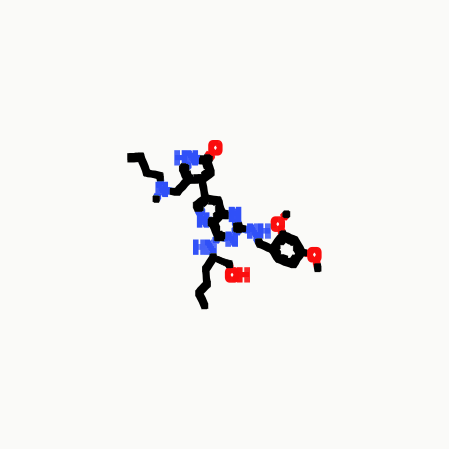 C=CCCN(C)Cc1c[nH]c(=O)cc1-c1cnc2c(N[C@@H](CO)CCCC)nc(NCc3ccc(OC)cc3OC)nc2c1